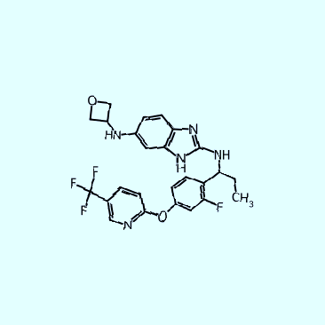 CCC(Nc1nc2ccc(NC3COC3)cc2[nH]1)c1ccc(Oc2ccc(C(F)(F)F)cn2)cc1F